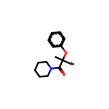 CCC(C)C(C)(Oc1ccccc1)C(=O)N1CCCCC1